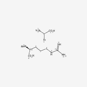 CCC(N)C(=O)O.CN[C@@H](CCCNC(=N)N)C(=O)O